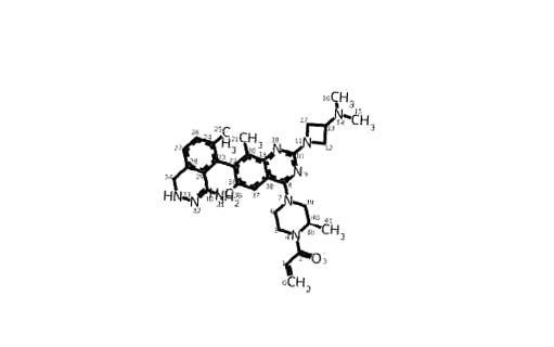 C=CC(=O)N1CCN(c2nc(N3CC(N(C)C)C3)nc3c(C)c(-c4c(C)ccc5c4C(N)=NNC5)c(C)cc23)C[C@H]1C